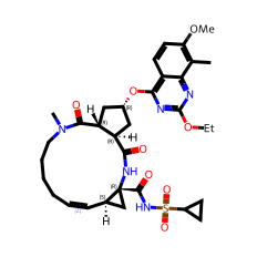 CCOc1nc(O[C@@H]2C[C@H]3C(=O)N[C@]4(C(=O)NS(=O)(=O)C5CC5)C[C@H]4/C=C\CCCCN(C)C(=O)[C@@H]3C2)c2ccc(OC)c(C)c2n1